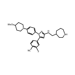 COC1CCN(c2ccc(-n3nc(NCC4CCCNCC4)cc3-c3ccc(C#N)c(F)c3)cc2)CC1